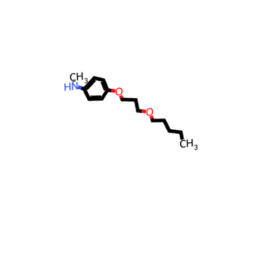 CCCCCOCCCOc1ccc(NC)cc1